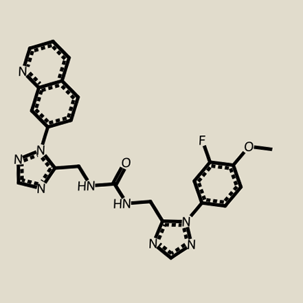 COc1ccc(-n2ncnc2CNC(=O)NCc2ncnn2-c2ccc3cccnc3c2)cc1F